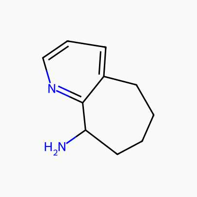 NC1CCCCc2cccnc21